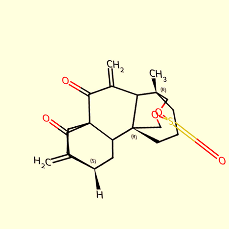 C=C1C(=O)C23CC[C@@H](CC2[C@@]24CCC[C@@](C)(COS(=O)OC2)C14)C(=C)C3=O